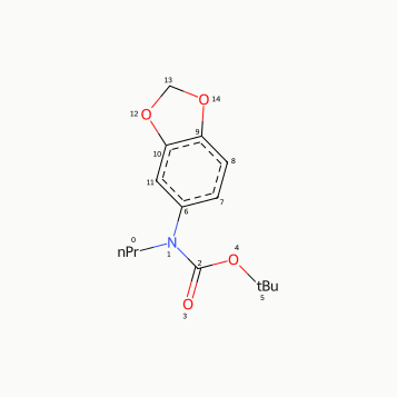 CCCN(C(=O)OC(C)(C)C)c1ccc2c(c1)OCO2